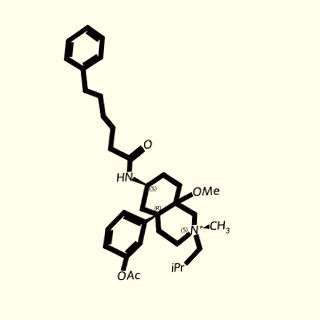 COC12CC[C@H](NC(=O)CCCCCc3ccccc3)C[C@@]1(c1cccc(OC(C)=O)c1)CC[N@@+](C)(CC(C)C)C2